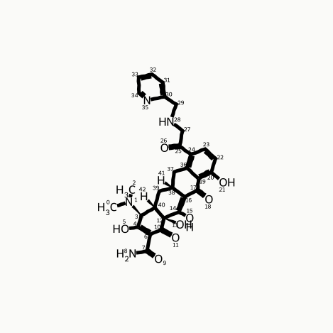 CN(C)[C@@H]1C(O)=C(C(N)=O)C(=O)[C@@]2(O)C(O)=C3C(=O)c4c(O)ccc(C(=O)CNCc5ccccn5)c4C[C@H]3C[C@@H]12